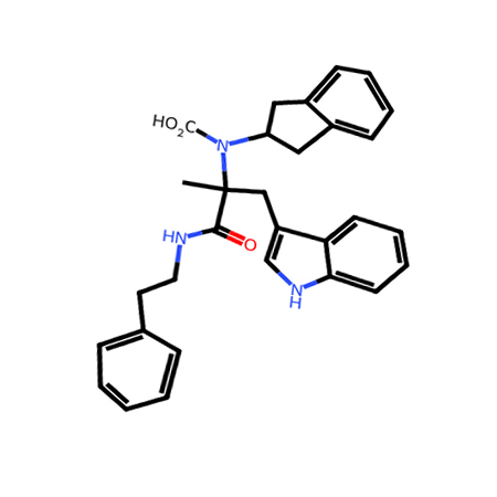 CC(Cc1c[nH]c2ccccc12)(C(=O)NCCc1ccccc1)N(C(=O)O)C1Cc2ccccc2C1